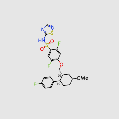 COC1CC[C@@H](c2ccc(F)cc2)[C@H](COc2cc(F)c(S(=O)(=O)Nc3ncns3)cc2F)C1